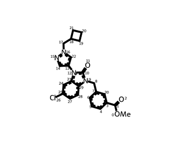 COC(=O)c1cccc(Cn2c(=O)n(-c3cnn(CC4CCC4)c3)c3cc(Cl)ccc32)c1